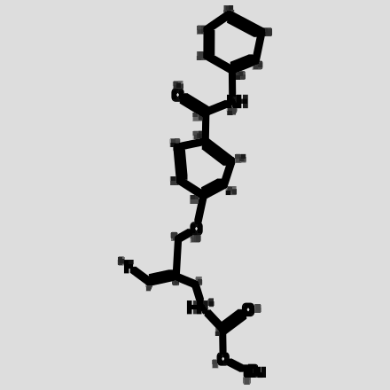 CC(C)(C)OC(=O)NC/C(=C/F)COc1ccc(C(=O)Nc2ccccc2)cc1